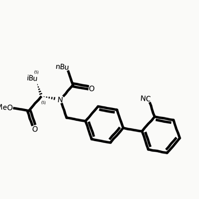 CCCCC(=O)N(Cc1ccc(-c2ccccc2C#N)cc1)[C@H](C(=O)OC)[C@@H](C)CC